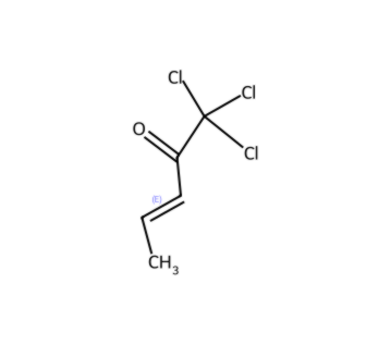 C/C=C/C(=O)C(Cl)(Cl)Cl